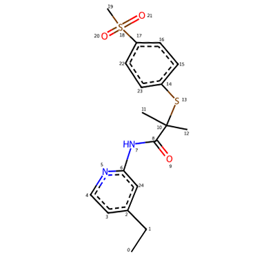 CCc1ccnc(NC(=O)C(C)(C)Sc2ccc(S(C)(=O)=O)cc2)c1